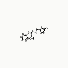 Cc1cn(CCCNCc2ccccc2O)cn1